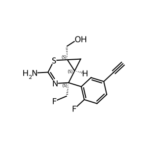 C#Cc1ccc(F)c([C@@]2(CF)N=C(N)S[C@@]3(CO)C[C@H]32)c1